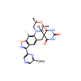 COc1cncc(-c2noc3c(F)c4c(cc23)CC2(C(=O)NC(=O)NC2=O)[C@H]2[C@H](C)O[C@H](C)CN42)n1